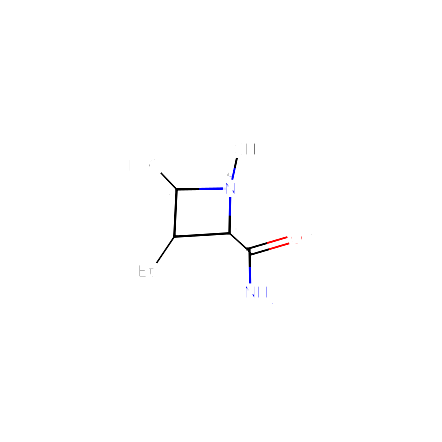 CCC1C(C)N(C)C1C(N)=O